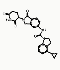 O=C1CCC(N2Cc3cc(NC(=O)N4CCc5c(C6CC6)cccc54)ccc3C2=O)C(=O)N1